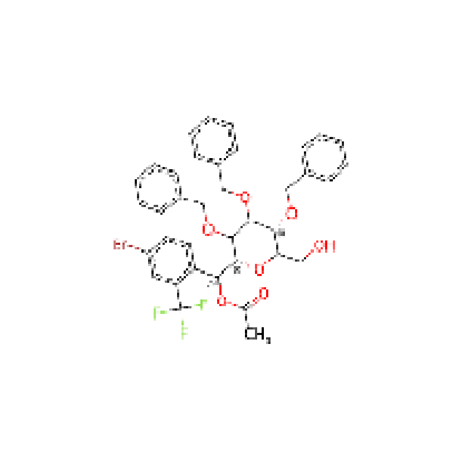 CC(=O)O[C@@H](c1ccc(Br)cc1C(F)(F)F)[C@H]1OC(CO)[C@@H](OCc2ccccc2)C(OCc2ccccc2)C1OCc1ccccc1